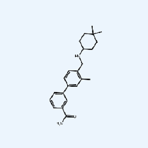 Cc1cc(-c2cccc(C(N)=O)c2)ccc1CNC1CCC(C)(C)CC1